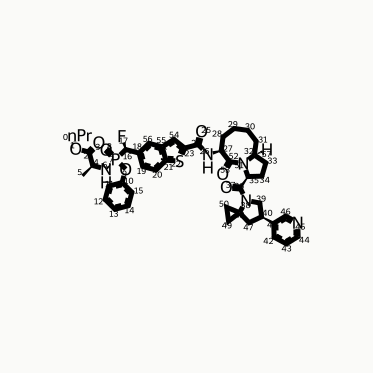 CCCOC(=O)[C@H](C)N[P@@](=O)(Oc1ccccc1)[C@@H](F)c1ccc2sc(C(=O)N[C@H]3CCCC[C@H]4CC[C@@H](C(=O)N5C[C@@H](c6cccnc6)CC56CC6)N4C3=O)cc2c1